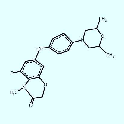 CC1CN(c2ccc(Nc3cc(F)c4c(c3)OCC(=O)N4C)cc2)CC(C)O1